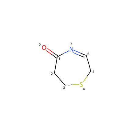 O=C1CCSCC=N1